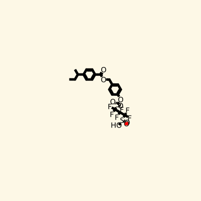 CCC(C)c1ccc(C(=O)OCc2ccc(OS(=O)(=O)C(F)(F)C(F)(F)C(F)(F)S(=O)(=O)O)cc2)cc1